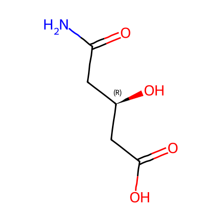 NC(=O)C[C@@H](O)CC(=O)O